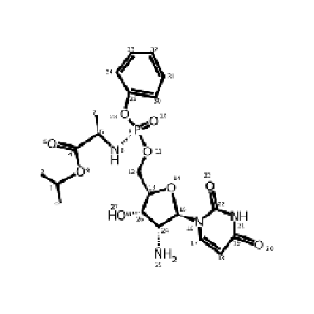 CC(C)OC(=O)[C@@H](C)N[P@](=O)(OC[C@H]1O[C@@H](n2ccc(=O)[nH]c2=O)[C@H](N)[C@@H]1O)Oc1ccccc1